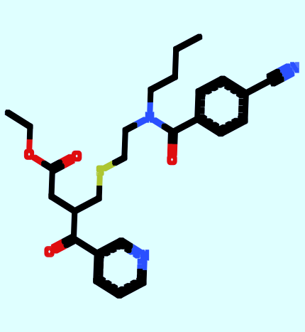 CCCCN(CCSCC(CC(=O)OCC)C(=O)c1cccnc1)C(=O)c1ccc(C#N)cc1